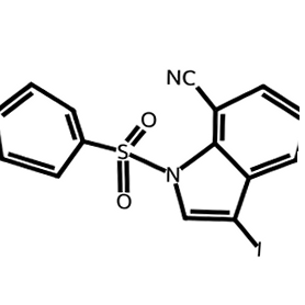 N#Cc1cccc2c(I)cn(S(=O)(=O)c3ccccc3)c12